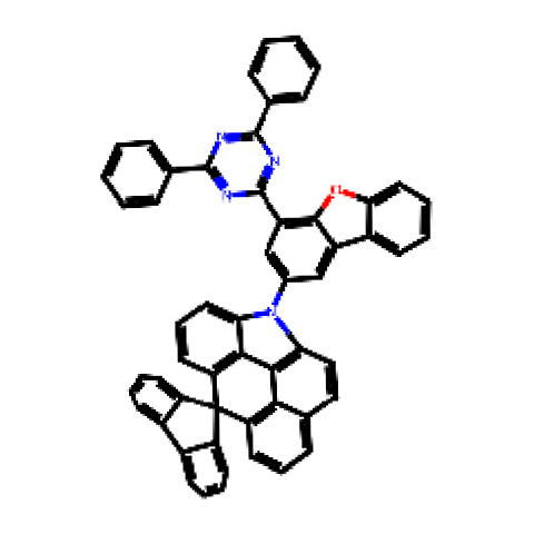 c1ccc(-c2nc(-c3ccccc3)nc(-c3cc(-n4c5cccc6c5c5c7c(cccc7ccc54)C64c5ccccc5-c5ccccc54)cc4c3oc3ccccc34)n2)cc1